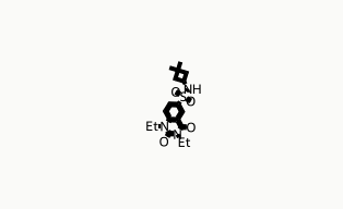 CCn1c(=O)c2cc(S(=O)(=O)NC3CC(C)(C)C3)ccc2n(CC)c1=O